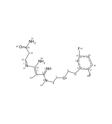 C/C(C(=N)N(C)CCOCCc1cc(F)ccc1F)=C(N)\N=C/CC(N)=O